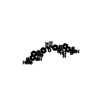 O=C(Nc1ccc(S(=O)(=O)Nc2cccc3cc(S(=O)(=O)O)cc(O)c23)cc1)Nc1ccc(S(=O)(=O)Nc2cccc3cc(S(=O)(=O)O)cc(O)c23)cc1